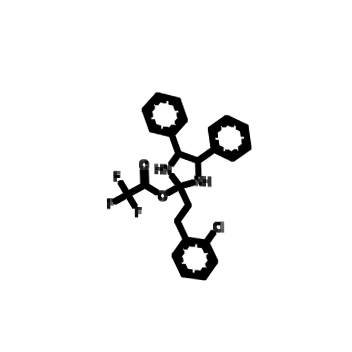 O=C(OC1(CCc2ccccc2Cl)NC(c2ccccc2)C(c2ccccc2)N1)C(F)(F)F